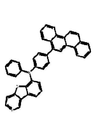 c1ccc(N(c2ccc(-c3cc4c5ccccc5ccc4c4ccccc34)cc2)c2cccc3c2sc2ccncc23)cc1